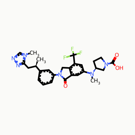 C[C@H](Cc1nncn1C)c1cccc(N2Cc3c(cc(N(C)[C@H]4CCN(C(=O)O)C4)cc3C(F)(F)F)C2=O)c1